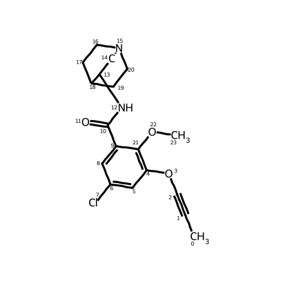 CC#COc1cc(Cl)cc(C(=O)NC2CN3CCC2CC3)c1OC